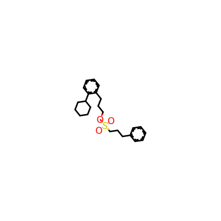 O=S(=O)(CCCc1ccccc1)OCCCc1ccccc1C1CCCCC1